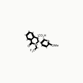 COc1ccc([C@H]2[C@@H](C(=O)O)c3ccccc3C(=O)N2CC(F)(F)F)cn1